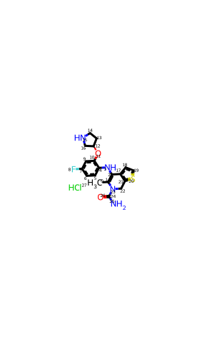 CC1=C(Nc2ccc(F)cc2O[C@@H]2CCNC2)c2ccsc2CN1C(N)=O.Cl